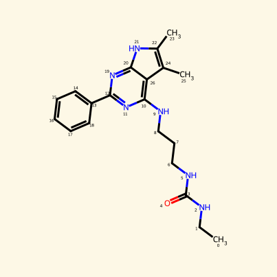 CCNC(=O)NCCCNc1nc(-c2ccccc2)nc2[nH]c(C)c(C)c12